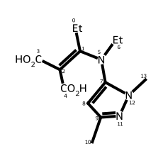 CCC(=C(C(=O)O)C(=O)O)N(CC)c1cc(C)nn1C